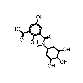 CN(C(=O)c1cc(O)cc(C(=O)O)c1O)C1CC(O)C(O)C(O)C1